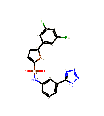 O=S(=O)(Nc1cccc(-c2nnn[nH]2)c1)c1ccc(-c2cc(F)cc(F)c2)s1